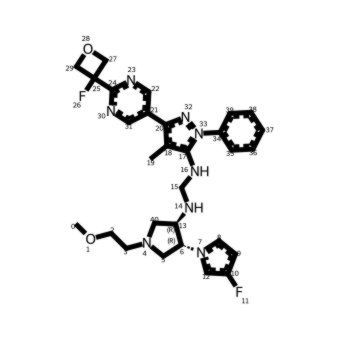 COCCN1C[C@@H](n2ccc(F)c2)[C@H](NCNc2c(C)c(-c3cnc(C4(F)COC4)nc3)nn2-c2ccccc2)C1